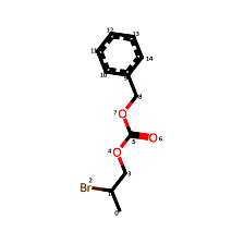 CC(Br)COC(=O)OCc1ccccc1